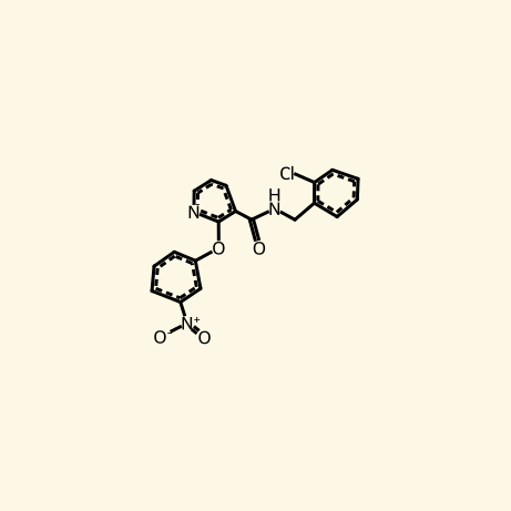 O=C(NCc1ccccc1Cl)c1cccnc1Oc1cccc([N+](=O)[O-])c1